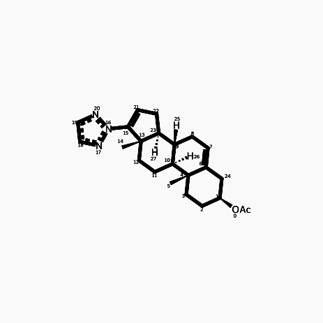 CC(=O)O[C@H]1CC[C@@]2(C)C(=CC[C@@H]3[C@@H]2CC[C@]2(C)C(n4nccn4)=CC[C@@H]32)C1